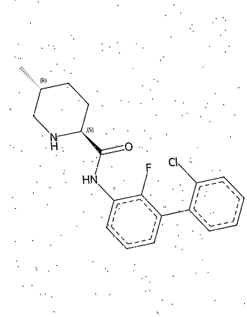 C[C@@H]1CC[C@@H](C(=O)Nc2cccc(-c3ccccc3Cl)c2F)NC1